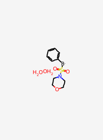 O.O.O=S(=O)([B]c1ccccc1)N1CCOCC1